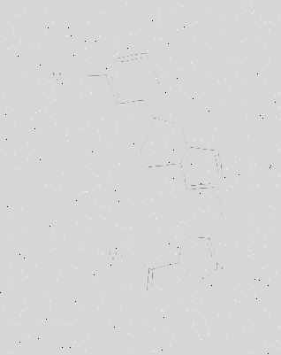 COC(=O)c1cnc(Oc2ccc3c(c2)CCC(c2cccc(OC)c2F)O3)s1